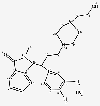 CN1C(=O)c2ccccc2C1C(CCN1CCC(CCO)CC1)c1ccc(Cl)c(Cl)c1.Cl